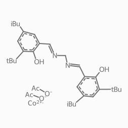 CC(=O)[O-].CC(=O)[O-].CCC(C)c1cc(C=NCN=Cc2cc(C(C)CC)cc(C(C)(C)C)c2O)c(O)c(C(C)(C)C)c1.[Co+2]